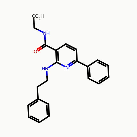 O=C(O)CNC(=O)c1ccc(-c2ccccc2)nc1NCCc1ccccc1